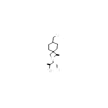 NCC1CCC2(CC1)CN([C@@H](CS)C(N)=O)C2=O